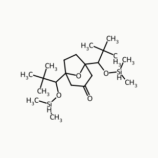 C[SiH](C)OC(C(C)(C)C)C12CCC(C(O[SiH](C)C)C(C)(C)C)(CC(=O)C1)O2